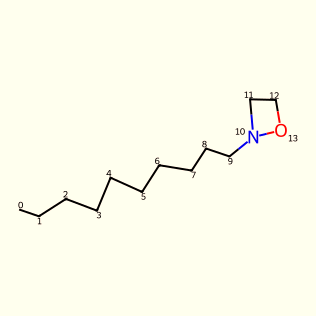 CCCCCCCCCCN1CCO1